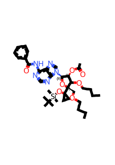 CCCCOC[C@@]1(C2(O[Si](C)(C)C(C)(C)C)CC2)O[C@@H](n2cnc3c(NC(=O)c4ccccc4)ncnc32)[C@@H](OC(C)=O)C1OCCCC